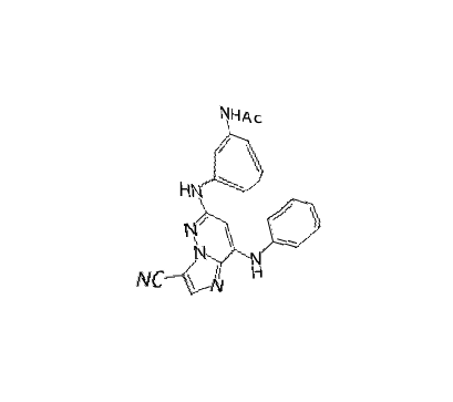 CC(=O)Nc1cccc(Nc2cc(Nc3ccccc3)c3ncc(C#N)n3n2)c1